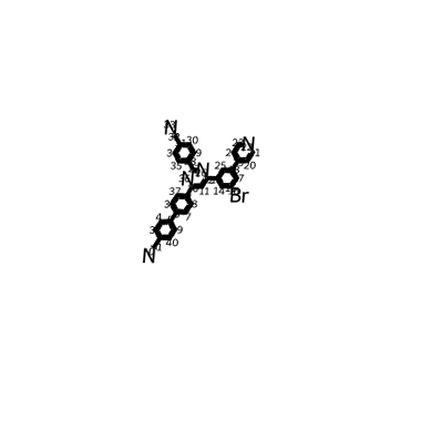 N#Cc1ccc(-c2ccc(-c3cc(-c4cc(Br)cc(-c5ccncc5)c4)nc(-c4ccc(C#N)cc4)n3)cc2)cc1